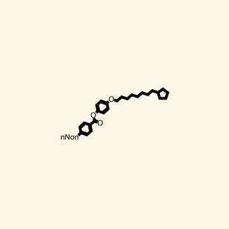 CCCCCCCCCc1ccc(C(=O)Oc2ccc(OCCCCCCCCC3CCCC3)cc2)cc1